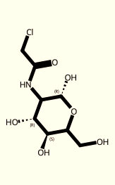 O=C(CCl)NC1[C@H](O)OC(CO)[C@@H](O)[C@@H]1O